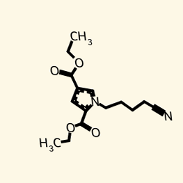 CCOC(=O)c1cc(C(=O)OCC)n(CCCCC#N)c1